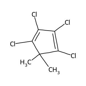 CC1(C)C(Cl)=C(Cl)C(Cl)=C1Cl